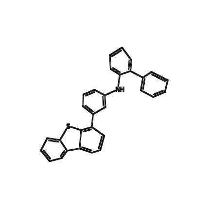 c1ccc(-c2ccccc2Nc2cccc(-c3cccc4c3sc3ccccc34)c2)cc1